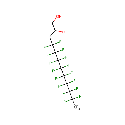 OCC(O)CC(F)(F)C(F)(F)C(F)(F)C(F)(F)C(F)(F)C(F)(F)C(F)(F)C(F)(F)C(F)(F)F